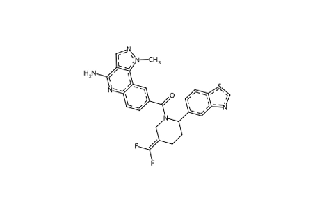 Cn1ncc2c(N)nc3ccc(C(=O)N4CC(=C(F)F)CCC4c4ccc5scnc5c4)cc3c21